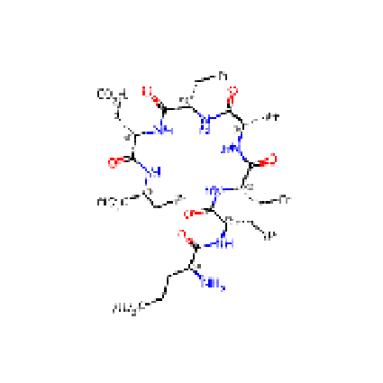 CC(C)C[C@H](NC(=O)[C@H](CC(=O)O)NC(=O)[C@H](CC(C)C)NC(=O)[C@@H](NC(=O)[C@H](CC(C)C)NC(=O)[C@H](CC(C)C)NC(=O)[C@@H](N)CCC(=O)O)C(C)C)C(=O)O